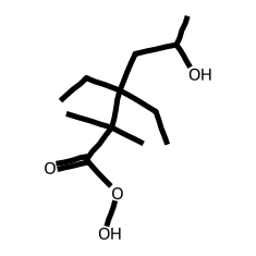 CCC(CC)(CC(C)O)C(C)(C)C(=O)OO